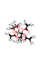 C=C(C)C(=O)OC(C)C(OC(=O)C(=C)C)(OC(=O)C(=C)C)[Si](O[Si](C)(C)C)(O[Si](C)(C)C)O[Si](C)(C)C